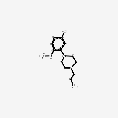 C[CH]CN1CCN(c2cc(Cl)ccc2OC)CC1